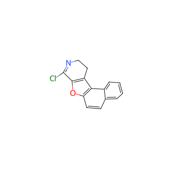 ClC1=NCCc2c1oc1ccc3ccccc3c21